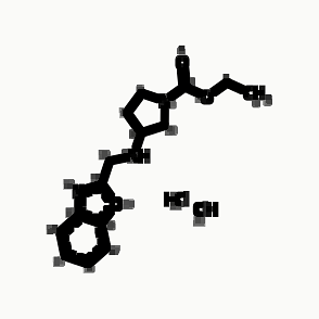 CCOC(=O)N1CCC(NCc2nc3ccccc3o2)C1.Cl.Cl